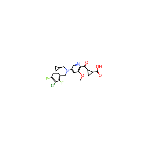 COc1cc(N(Cc2ccc(F)c(Cl)c2F)CC2CC2)cnc1C(=O)C1CC1C(=O)O